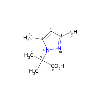 Cc1cc(C)n(C(C)(C)C(=O)O)n1